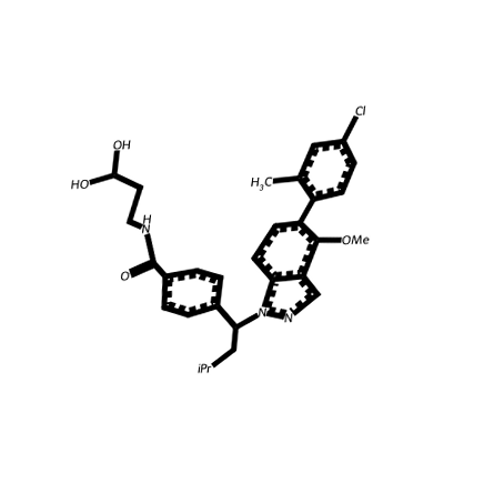 COc1c(-c2ccc(Cl)cc2C)ccc2c1cnn2C(CC(C)C)c1ccc(C(=O)NCCC(O)O)cc1